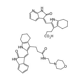 O=C(CCc1c(C=C2C(=O)Nc3ccccc32)[nH]c2c1CCCC2)NCCN1CCOCC1.O=C(O)CCc1c(C=C2C(=O)Nc3ncccc32)[nH]c2c1CCCC2